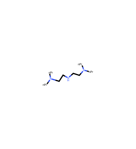 CCCN(CCC)CCNCCN(CCC)CCC